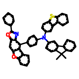 CC1(C)c2ccccc2-c2cc(N(c3ccc(-c4c5nc(-c6ccccc6)oc5cc5oc6ccccc6c45)cc3)c3ccc4sc5ccccc5c4c3)ccc21